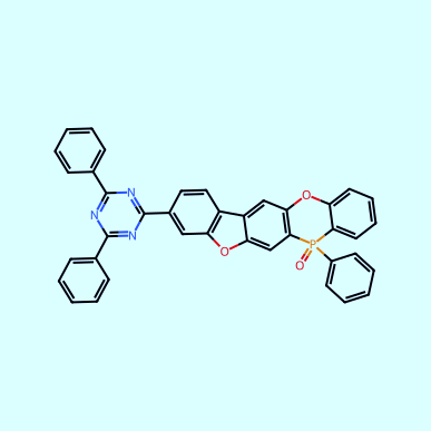 O=P1(c2ccccc2)c2ccccc2Oc2cc3c(cc21)oc1cc(-c2nc(-c4ccccc4)nc(-c4ccccc4)n2)ccc13